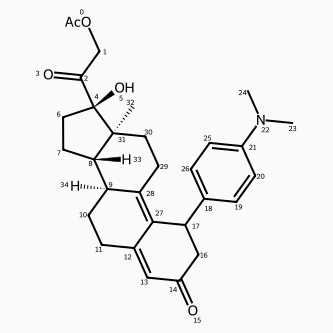 CC(=O)OCC(=O)[C@@]1(O)CC[C@H]2[C@@H]3CCC4=CC(=O)CC(c5ccc(N(C)C)cc5)C4=C3CC[C@@]21C